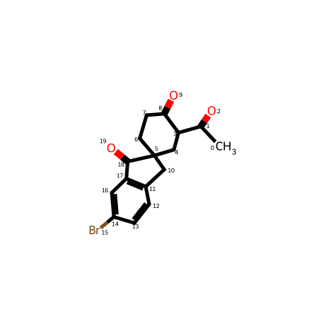 CC(=O)C1CC2(CCC1=O)Cc1ccc(Br)cc1C2=O